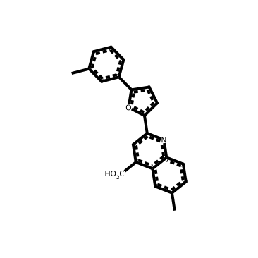 Cc1cccc(-c2ccc(-c3cc(C(=O)O)c4cc(C)ccc4n3)o2)c1